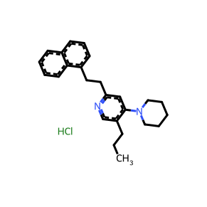 CCCc1cnc(CCc2cccc3ccccc23)cc1N1CCCCC1.Cl